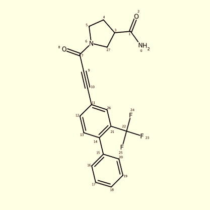 NC(=O)C1CCN(C(=O)C#Cc2ccc(-c3ccccc3)c(C(F)(F)F)c2)C1